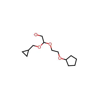 [O]CC(OCCOC1CCCC1)OCC1CC1